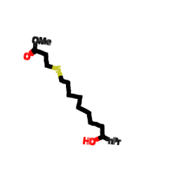 CCCC(O)CCCCCCCCSCCC(=O)OC